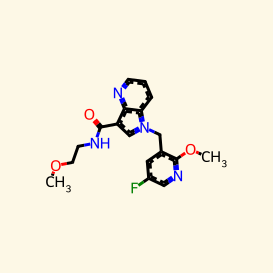 COCCNC(=O)c1cn(Cc2cc(F)cnc2OC)c2cccnc12